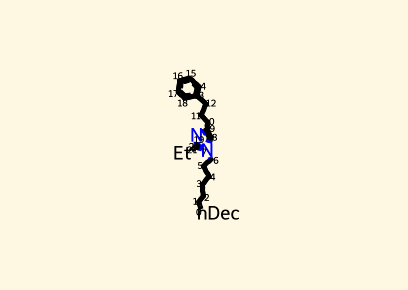 CCCCCCCCCCCCCCCCn1cc(CCCc2ccccc2)nc1CC